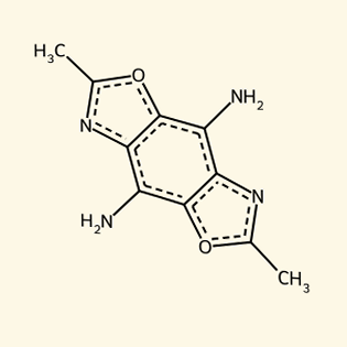 Cc1nc2c(N)c3oc(C)nc3c(N)c2o1